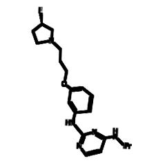 CC(C)Nc1ccnc(Nc2cccc(OCCCN3CC[C@@H](F)C3)c2)n1